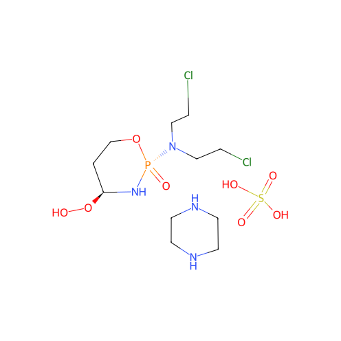 C1CNCCN1.O=S(=O)(O)O.O=[P@@]1(N(CCCl)CCCl)N[C@@H](OO)CCO1